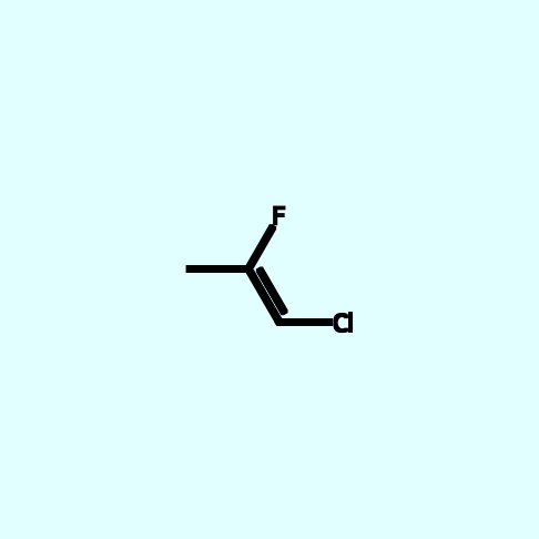 CC(F)=CCl